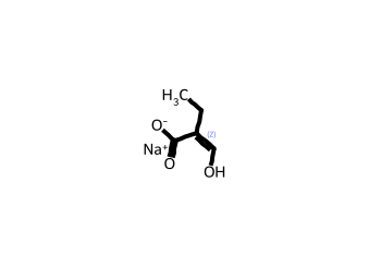 CC/C(=C/O)C(=O)[O-].[Na+]